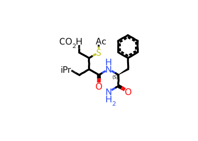 CC(=O)SC(CC(=O)O)C(CC(C)C)C(=O)N[C@@H](Cc1ccccc1)C(N)=O